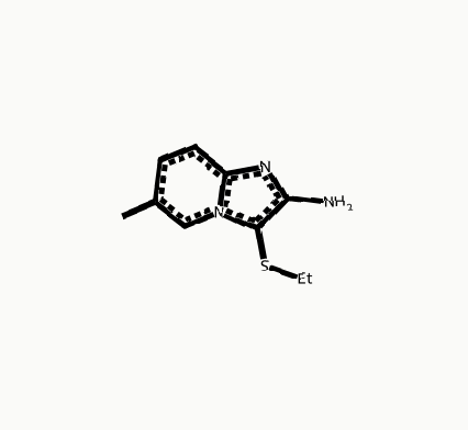 CCSc1c(N)nc2ccc(C)cn12